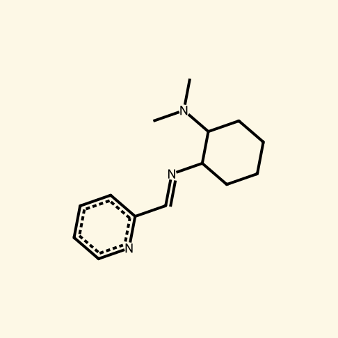 CN(C)C1CCCCC1N=Cc1ccccn1